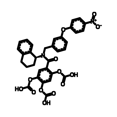 O=C(O)Oc1cc(OC(=O)O)c(C(=O)N(Cc2cccc(Oc3ccc([N+](=O)[O-])cc3)c2)[C@H]2CCCc3ccccc32)cc1OC(=O)O